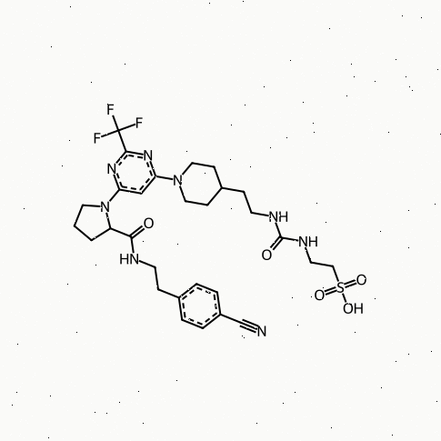 N#Cc1ccc(CCNC(=O)C2CCCN2c2cc(N3CCC(CCNC(=O)NCCS(=O)(=O)O)CC3)nc(C(F)(F)F)n2)cc1